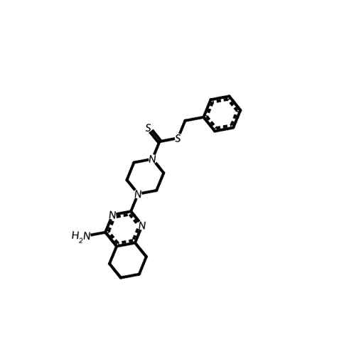 Nc1nc(N2CCN(C(=S)SCc3ccccc3)CC2)nc2c1CCCC2